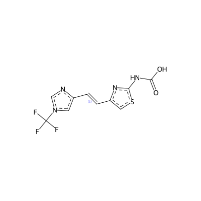 O=C(O)Nc1nc(/C=C/c2cn(C(F)(F)F)cn2)cs1